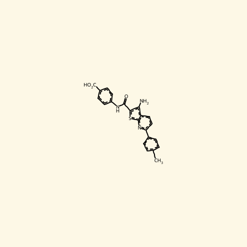 Cc1ccc(-c2ccc3c(N)c(C(=O)Nc4ccc(C(=O)O)cc4)sc3n2)cc1